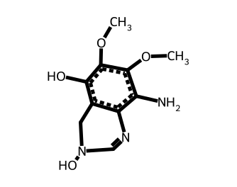 COc1c(N)c2c(c(O)c1OC)CN(O)C=N2